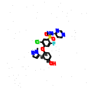 Cn1nccc1[C@H]1C[C@H](O)CC[C@@H]1Oc1cc(F)c(S(=O)(=O)Nc2ccncn2)cc1Cl